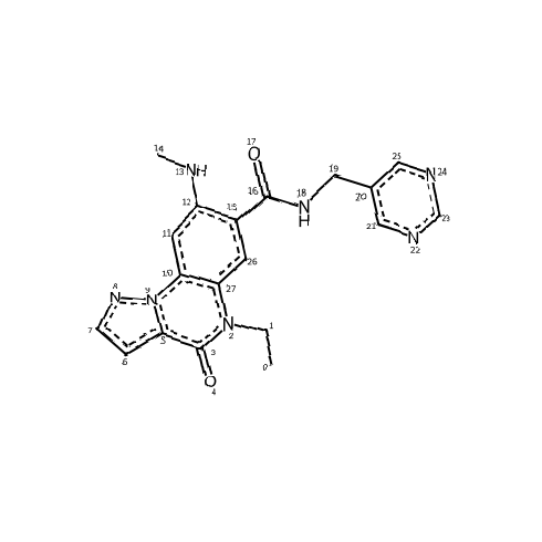 CCn1c(=O)c2ccnn2c2cc(NC)c(C(=O)NCc3cncnc3)cc21